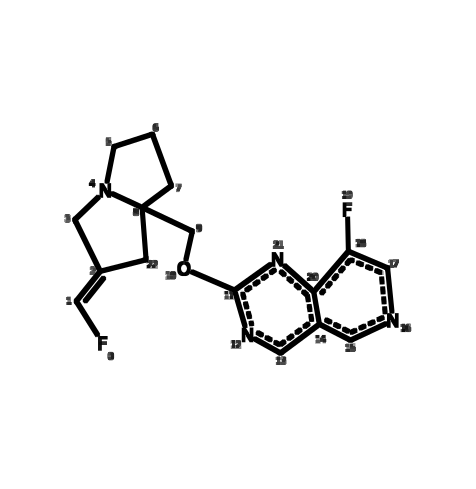 F/C=C1/CN2CCCC2(COc2ncc3cncc(F)c3n2)C1